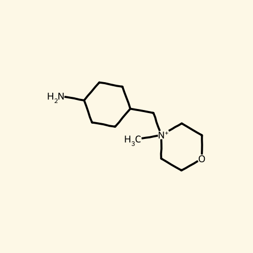 C[N+]1(CC2CCC(N)CC2)CCOCC1